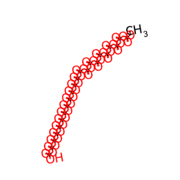 COC(=O)OC(=O)OC(=O)OC(=O)OC(=O)OC(=O)OC(=O)OC(=O)OC(=O)OC(=O)OC(=O)OC(=O)OC(=O)OC(=O)OC(=O)OC(=O)OC(=O)OC(=O)OC(=O)OC(=O)OC(=O)OC(=O)O